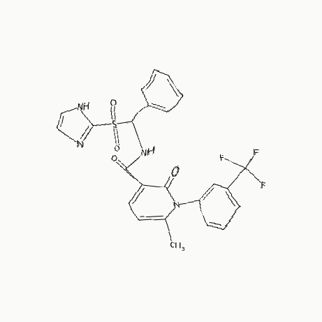 Cc1ccc(C(=O)NC(c2ccccc2)S(=O)(=O)c2ncc[nH]2)c(=O)n1-c1cccc(C(F)(F)F)c1